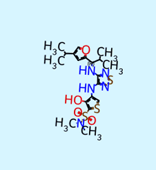 CC(C)c1coc([C@H](Nc2nsnc2Nc2csc(S(=O)(=O)N(C)C)c2O)C(C)C)c1